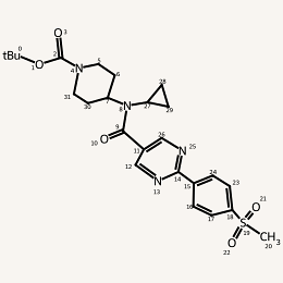 CC(C)(C)OC(=O)N1CCC(N(C(=O)c2cnc(-c3ccc(S(C)(=O)=O)cc3)nc2)C2CC2)CC1